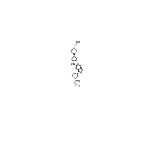 C=CC(=O)N1CCCC(c2ncn3cnc(Nc4ccc(N5CCN(CCO)CC5)cc4)nc23)C1